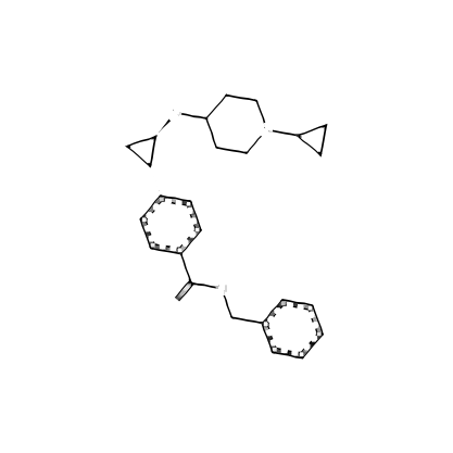 O=C(NCc1ccccc1)c1ccc([C@@H]2C[C@H]2NC2CCN(C3CC3)CC2)cc1